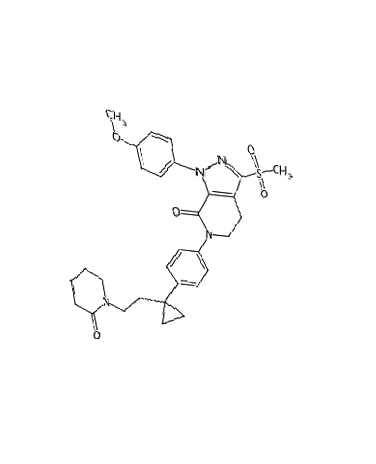 COc1ccc(-n2nc(S(C)(=O)=O)c3c2C(=O)N(c2ccc(C4(CCN5CCCCC5=O)CC4)cc2)CC3)cc1